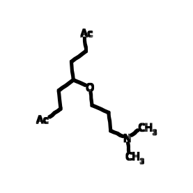 CC(=O)CCC(CCC(C)=O)OCCCN(C)C